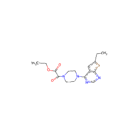 CCOC(=O)C(=O)N1CCN(c2ncnc3sc(CC)cc23)CC1